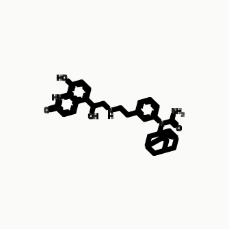 NC(=O)N(c1cccc(CCNCC(O)c2ccc(O)c3[nH]c(=O)ccc23)c1)C12CC3CC(CC(C3)C1)C2